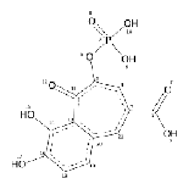 O=C(O)c1cc(OP(=O)(O)O)c(=O)c2c(O)c(O)ccc2c1